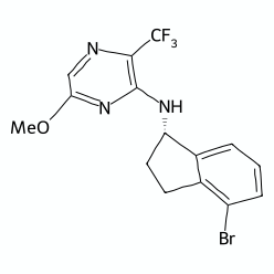 COc1cnc(C(F)(F)F)c(N[C@H]2CCc3c(Br)cccc32)n1